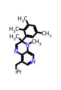 Cc1cc(C)c(C)c(C2(C)C=Nc3c(CC(C)C)cncc3N2C)c1